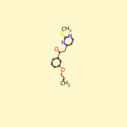 C=CCOc1cccc(C(=O)Cc2ccnc(SC)n2)c1